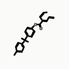 C=C/C=C(\C=C/C)C(=O)Oc1ccc(C(C)(C)c2ccc(C)cc2)cc1